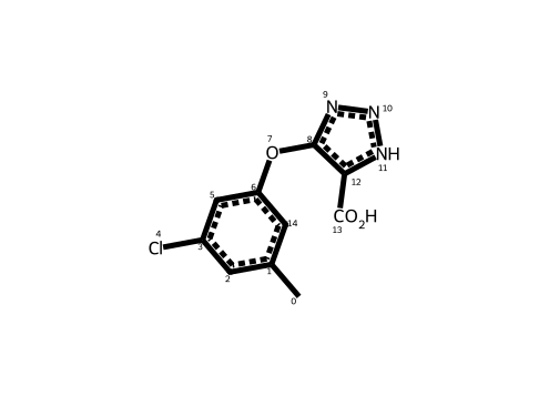 Cc1cc(Cl)cc(Oc2nn[nH]c2C(=O)O)c1